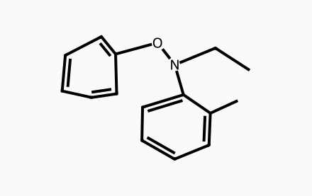 CCN(Oc1ccccc1)c1ccccc1C